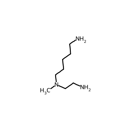 CN(CCN)CCCCCN